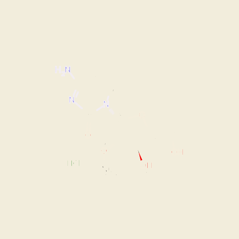 Cl.Nc1ccn([C@@H]2O[C@H](CO)[C@@H](O)[C@@H]2O[N+](=O)[O-])c(=O)n1